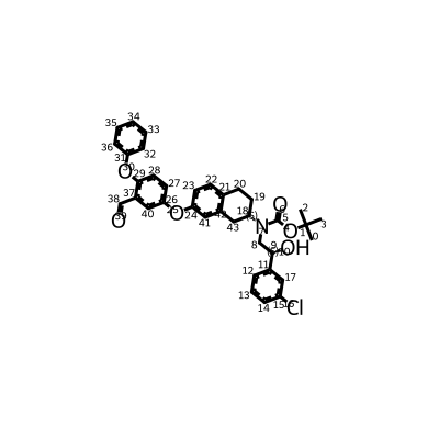 CC(C)(C)OC(=O)N(C[C@@H](O)c1cccc(Cl)c1)[C@H]1CCc2ccc(Oc3ccc(Oc4ccccc4)c(C=O)c3)cc2C1